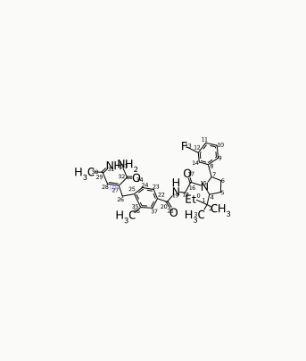 CCC(C)(C)C1CCC(c2cccc(F)c2)N1C(=O)CNC(=O)c1ccc(C/C(=C/C(C)=N)C(N)=O)c(C)c1